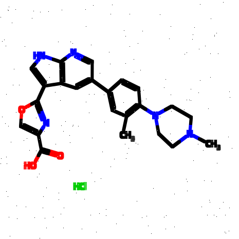 Cc1cc(-c2cnc3[nH]cc(-c4nc(C(=O)O)co4)c3c2)ccc1N1CCN(C)CC1.Cl